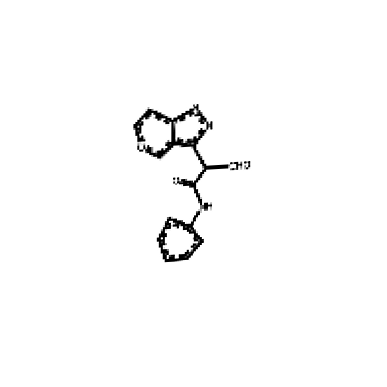 O=CC(C(=O)Nc1ccccc1)c1nnc2ccocc1-2